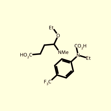 CCN(C(=O)O)c1ccc(C(F)(F)F)cc1.CCOC(CCC(=O)O)NC